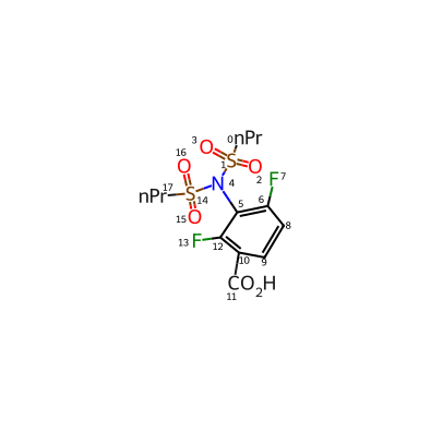 CCCS(=O)(=O)N(c1c(F)ccc(C(=O)O)c1F)S(=O)(=O)CCC